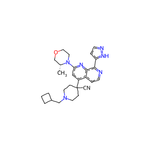 C[C@@H]1COCCN1c1cc(C2(C#N)CCN(CC3CCC3)CC2)c2ccnc(-c3ccn[nH]3)c2n1